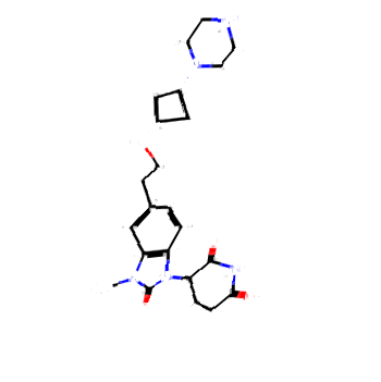 Cn1c(=O)n(C2CCC(=O)NC2=O)c2ccc(CCO[C@H]3C[C@@H](N4CCNCC4)C3)cc21